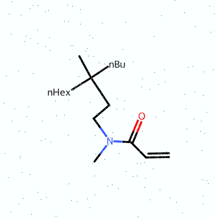 C=CC(=O)N(C)CCC(C)(CCCC)CCCCCC